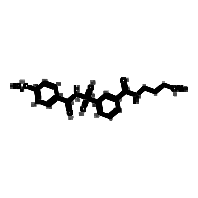 COCCCNC(=O)c1cccc(S(=O)(=O)NC(=O)c2ccc(C(=O)O)nc2)c1